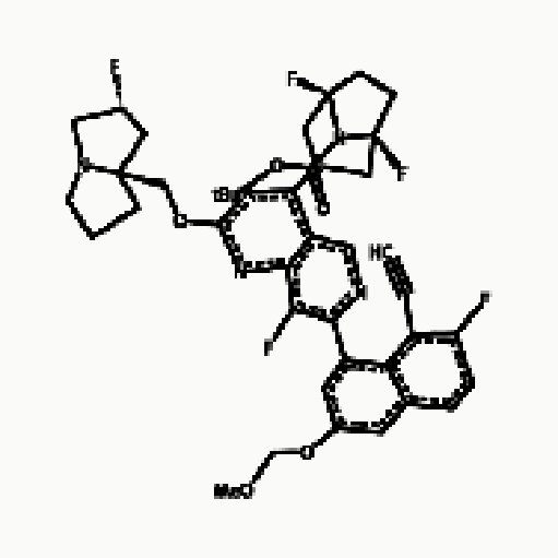 C#Cc1c(F)ccc2cc(OCOC)cc(-c3ncc4c(N5C[C@]6(F)CC[C@](F)(C5)N6C(=O)OC(C)(C)C)nc(OC[C@@]56CCCN5C[C@H](F)C6)nc4c3F)c12